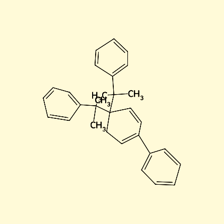 CC(C)(c1ccccc1)C1(C(C)(C)c2ccccc2)C=CC(c2ccccc2)=CC1